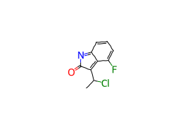 CC(Cl)C1=c2c(F)cccc2=NC1=O